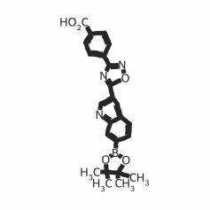 CC1(C)OB(c2ccc3cc(-c4nc(-c5ccc(C(=O)O)cc5)no4)cnc3c2)OC1(C)C